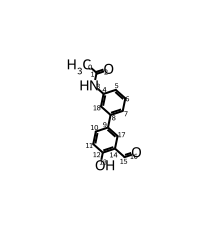 CC(=O)Nc1cccc(-c2ccc(O)c(C=O)c2)c1